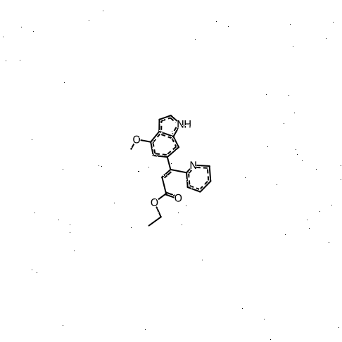 CCOC(=O)C=C(c1cc(OC)c2cc[nH]c2c1)c1ccccn1